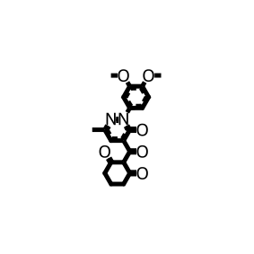 COc1ccc(-n2nc(C)cc(C(=O)C3C(=O)CCCC3=O)c2=O)cc1OC